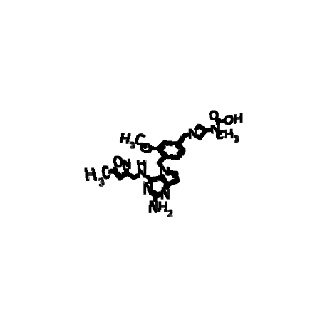 COc1cc(CN2CC(N(C)C(=O)O)C2)ccc1Cn1ccc2nc(N)nc(NCc3cc(C)on3)c21